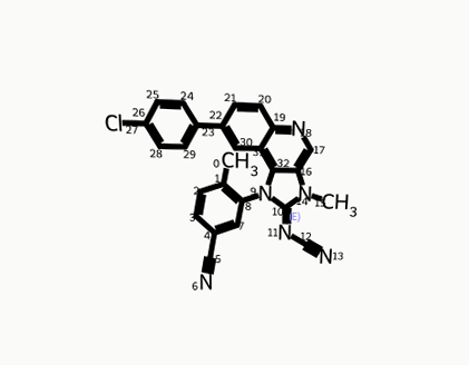 Cc1ccc(C#N)cc1-n1/c(=N/C#N)n(C)c2cnc3ccc(-c4ccc(Cl)cc4)cc3c21